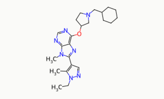 CCn1ncc(-c2nc3c(OC4CCN(CC5CCCCC5)C4)ncnc3n2C)c1C